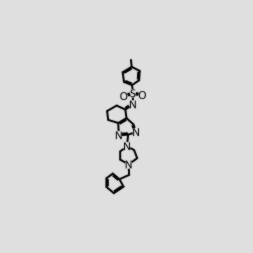 Cc1ccc(S(=O)(=O)N=C2CCCc3nc(N4CCN(Cc5ccccc5)CC4)ncc32)cc1